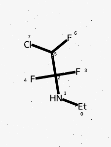 CCNC(F)(F)C(F)Cl